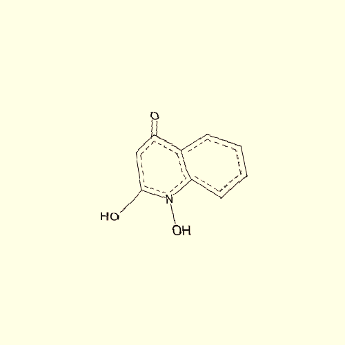 O=c1cc(O)n(O)c2ccccc12